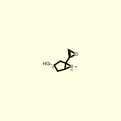 C[N@]1C2C[C@H](O)CC21C1=CO1